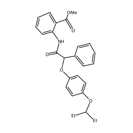 CCC(CC)Oc1ccc(OC(C(=O)Nc2ccccc2C(=O)OC)c2ccccc2)cc1